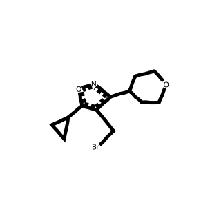 BrCc1c(C2CCOCC2)noc1C1CC1